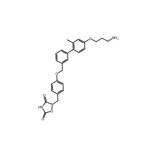 Cc1cc(OCCCN)ccc1-c1cccc(COc2ccc(Cn3oc(=O)[nH]c3=O)cc2)c1